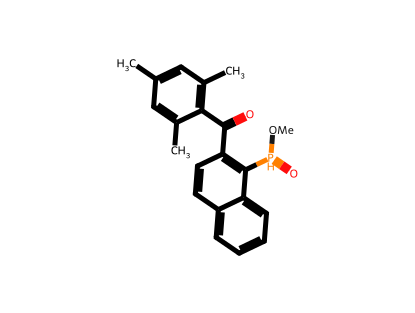 CO[PH](=O)c1c(C(=O)c2c(C)cc(C)cc2C)ccc2ccccc12